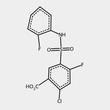 O=C(O)c1cc(S(=O)(=O)Nc2ccccc2F)c(F)cc1Cl